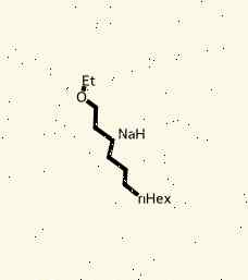 CCCCCCCCCCCCOCC.[NaH]